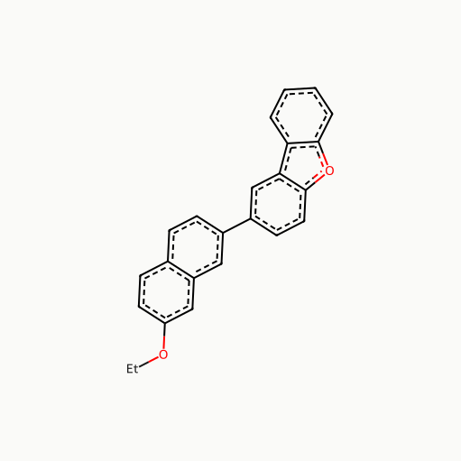 CCOc1ccc2ccc(-c3ccc4oc5ccccc5c4c3)cc2c1